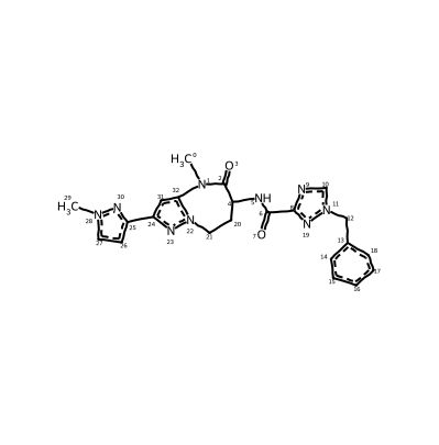 CN1C(=O)C(NC(=O)c2ncn(Cc3ccccc3)n2)CCn2nc(-c3ccn(C)n3)cc21